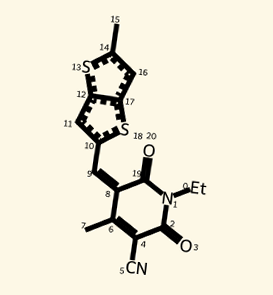 CCN1C(=O)C(C#N)=C(C)/C(=C/c2cc3sc(C)cc3s2)C1=O